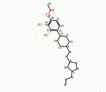 CCCC1CCC(CCC2CCC(c3ccc(OCC)c(F)c3F)CC2)C1